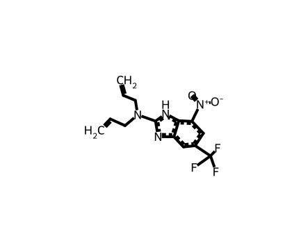 C=CCN(CC=C)c1nc2cc(C(F)(F)F)cc([N+](=O)[O-])c2[nH]1